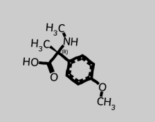 CN[C@@](C)(C(=O)O)c1ccc(OC)cc1